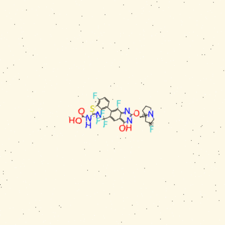 O=C(O)Nc1nc2c(-c3c(C(F)(F)F)cc4c(O)nc(OC[C@@]56CCCN5C[C@H](F)C6)nc4c3F)ccc(F)c2s1